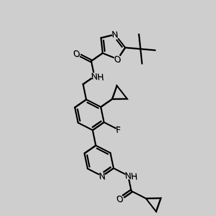 CC(C)(C)c1ncc(C(=O)NCc2ccc(-c3ccnc(NC(=O)C4CC4)c3)c(F)c2C2CC2)o1